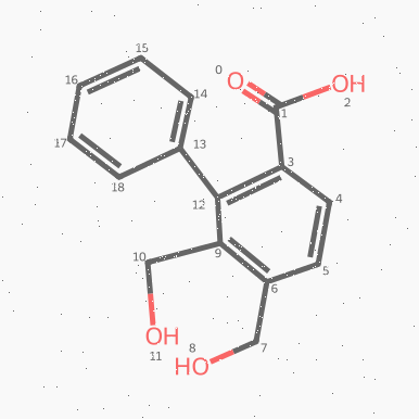 O=C(O)c1ccc(CO)c(CO)c1-c1ccccc1